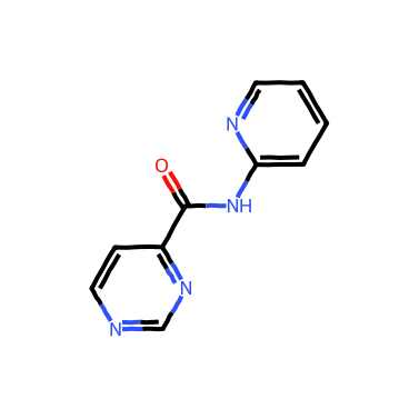 O=C(Nc1ccccn1)c1ccncn1